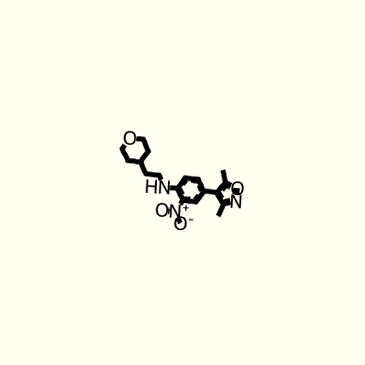 Cc1noc(C)c1-c1ccc(NCCC2CCOCC2)c([N+](=O)[O-])c1